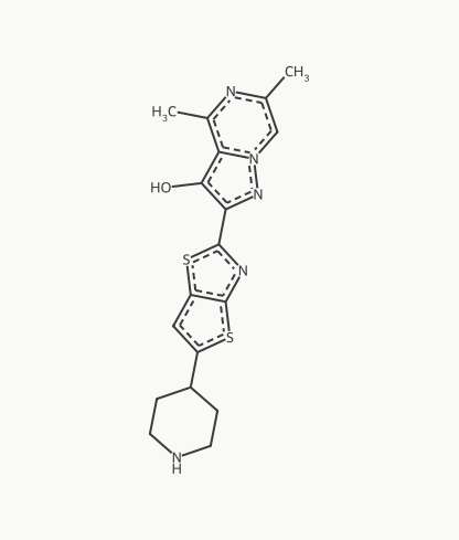 Cc1cn2nc(-c3nc4sc(C5CCNCC5)cc4s3)c(O)c2c(C)n1